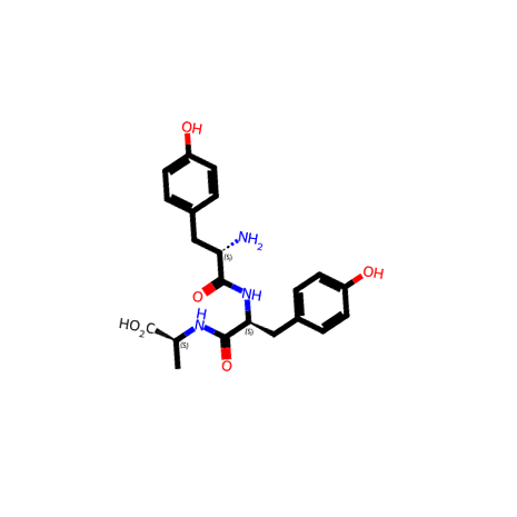 C[C@H](NC(=O)[C@H](Cc1ccc(O)cc1)NC(=O)[C@@H](N)Cc1ccc(O)cc1)C(=O)O